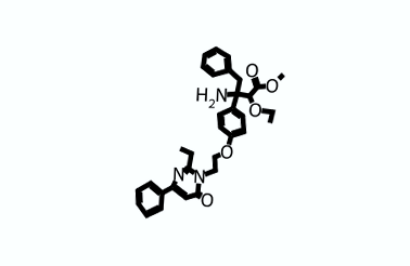 CCOC(C(=O)OC)C(N)(Cc1ccccc1)c1ccc(OCCn2c(CC)nc(-c3ccccc3)cc2=O)cc1